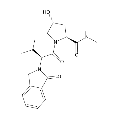 CNC(=O)[C@@H]1C[C@@H](O)CN1C(=O)[C@H](C(C)C)N1Cc2ccccc2C1=O